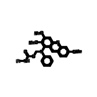 COc1ccc2cc3c(N(COC(=O)NC(C)C)c4ccccc4)c(OC)c(OC)cc3nc2c1